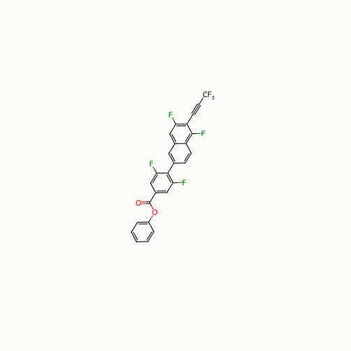 O=C(Oc1ccccc1)c1cc(F)c(-c2ccc3c(F)c(C#CC(F)(F)F)c(F)cc3c2)c(F)c1